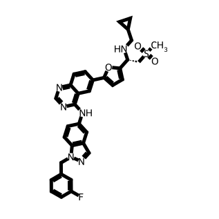 CS(=O)(=O)C[C@@H](NCC1CC1)c1ccc(-c2ccc3ncnc(Nc4ccc5c(cnn5Cc5cccc(F)c5)c4)c3c2)o1